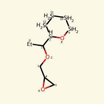 CCC(OCC1CO1)[SiH]1O[SiH2][SiH2][SiH2][SiH2]1